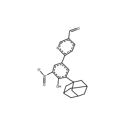 O=Cc1ccc(-c2cc([N+](=O)[O-])c(O)c(C34CC5CC(CC(C5)C3)C4)c2)nc1